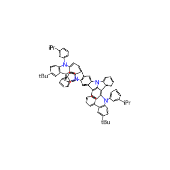 CC(C)c1cccc(N(c2ccc(C(C)(C)C)cc2-c2ccccc2)c2ccc3c4cc5c(cc4n4c6ccccc6c2c34)c2ccc(N(c3cccc(C(C)C)c3)c3ccc(C(C)(C)C)cc3-c3ccccc3)c3c4ccccc4n5c23)c1